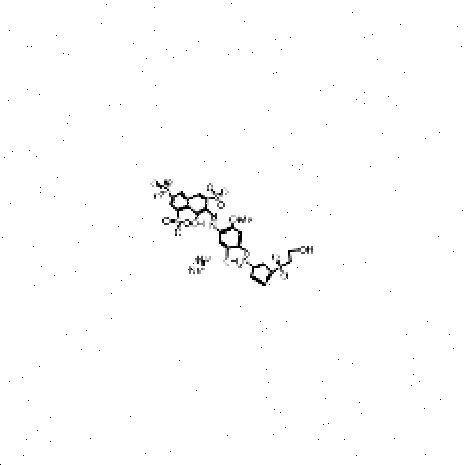 COc1cc(N=Nc2cccc(S(=O)(=O)CCO)c2)c(C)cc1N=Nc1c(S(=O)(=O)[O-])cc2cc(S(=O)(=O)[O-])cc(S(=O)(=O)[O-])c2c1O.[Na+].[Na+].[Na+]